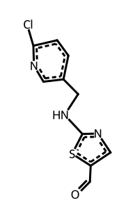 O=Cc1cnc(NCc2ccc(Cl)nc2)s1